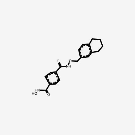 O=C(NO)c1ccc(C(=O)NOCc2ccc3c(c2)CCCC3)cc1